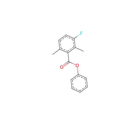 Cc1ccc(F)c(C)c1C(=O)Oc1ccccc1